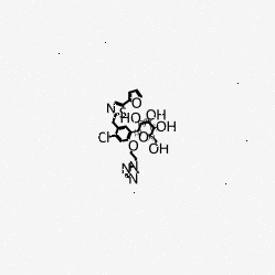 OC[C@H]1O[C@@H](c2cc(Cc3ncc(-c4ccco4)s3)c(Cl)cc2OCCn2cncn2)[C@H](O)[C@@H](O)[C@@H]1O